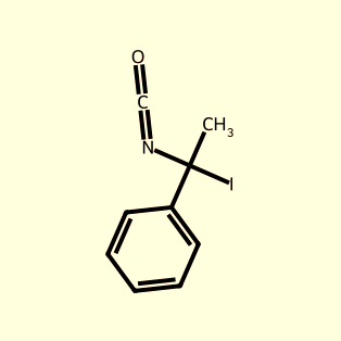 CC(I)(N=C=O)c1ccccc1